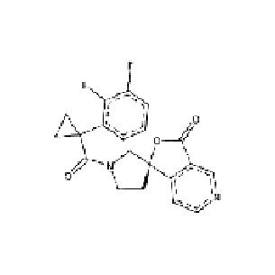 O=C1O[C@]2(CCN(C(=O)C3(c4cccc(F)c4F)CC3)C2)c2ccncc21